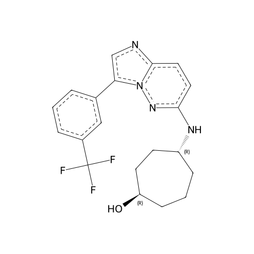 O[C@@H]1CCC[C@@H](Nc2ccc3ncc(-c4cccc(C(F)(F)F)c4)n3n2)CC1